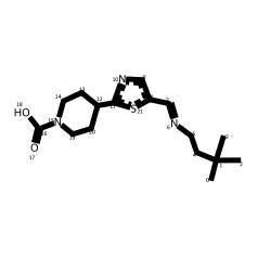 CC(C)(C)CCN=Cc1cnc(C2CCN(C(=O)O)CC2)s1